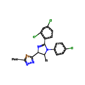 CCCC(C)c1nnc(C2N=C(c3ccc(Cl)cc3Cl)N(c3ccc(Cl)cc3)C2CC)s1